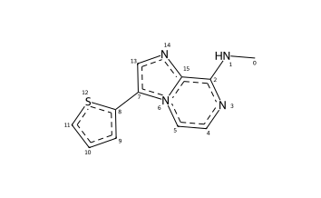 CNc1nccn2c(-c3cccs3)cnc12